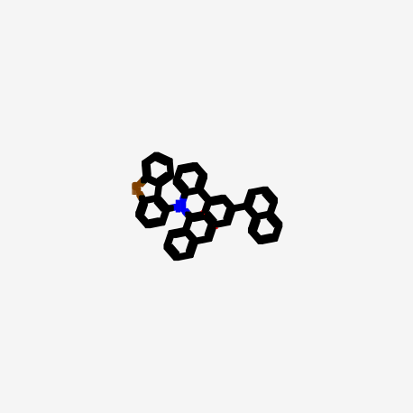 c1cc(-c2ccccc2N(c2cccc3ccccc23)c2cccc3sc4ccccc4c23)cc(-c2cccc3ccccc23)c1